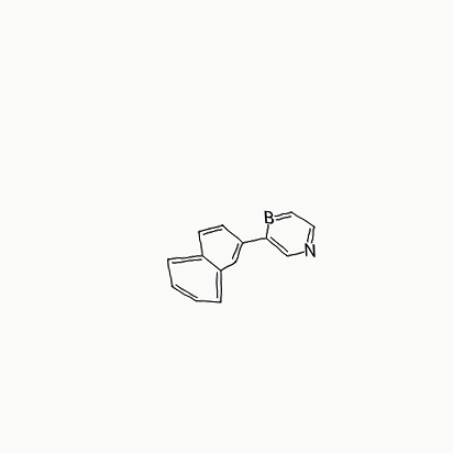 b1ccncc1-c1ccc2ccccc2c1